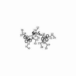 CCCO[Si](CC[S][Sn]([CH2]C)([CH2]C)[S]CC[Si](OCCC)(OCCC)OCCC)(OCCC)OCCC